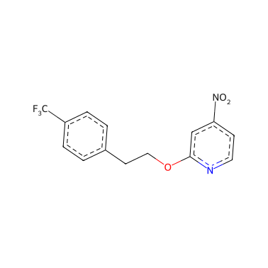 O=[N+]([O-])c1ccnc(OCCc2ccc(C(F)(F)F)cc2)c1